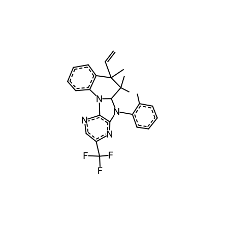 C=CC1(C)c2ccccc2N2c3ncc(C(F)(F)F)nc3N(c3ccccc3C)C2C1(C)C